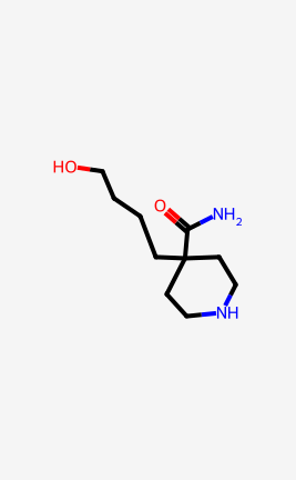 NC(=O)C1(CCCCO)CCNCC1